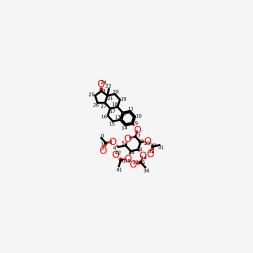 CC(=O)OCC1OC(Oc2ccc3c(c2)CCC2C3CCC3(C)C(=O)CCC23)C(OC(C)=O)C(OC(C)=O)C1OC(C)=O